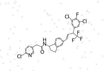 O=C(Cc1ccc(Cl)nc1)NC1CCc2cc(/C=C/C(c3cc(Cl)c(F)c(Cl)c3)C(F)(F)F)ccc21